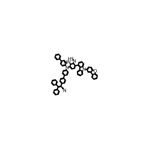 N#CC(=C(c1ccccc1)c1ccccc1)c1ccc(-c2ccc(N(C3=CC=C(c4cccc5c4c4ccccc4n5-c4ccc5oc6ccccc6c5c4)/C(=N/S)C3=N)c3ccc(-c4ccccc4)cc3)cc2)cc1